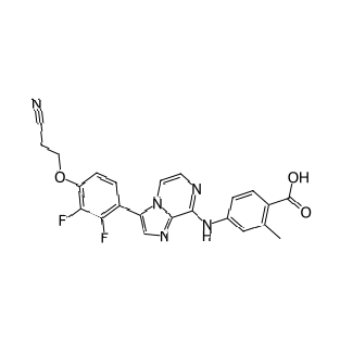 Cc1cc(Nc2nccn3c(-c4ccc(OCCC#N)c(F)c4F)cnc23)ccc1C(=O)O